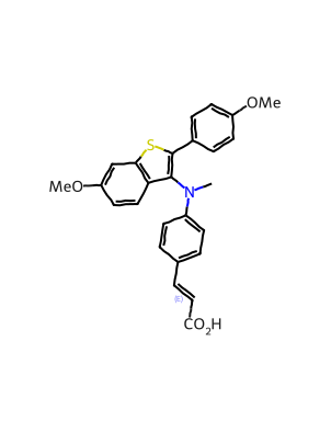 COc1ccc(-c2sc3cc(OC)ccc3c2N(C)c2ccc(/C=C/C(=O)O)cc2)cc1